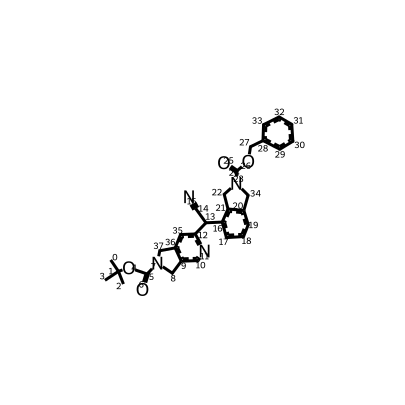 CC(C)(C)OC(=O)N1Cc2cnc(C(C#N)c3cccc4c3CN(C(=O)OCc3ccccc3)C4)cc2C1